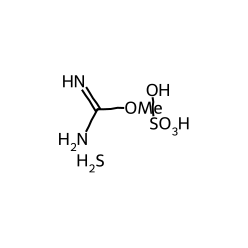 COC(=N)N.O=S(=O)(O)O.S